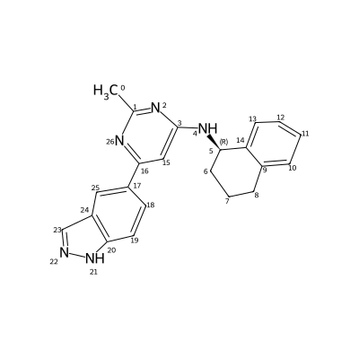 Cc1nc(N[C@@H]2CCCc3ccccc32)cc(-c2ccc3[nH]ncc3c2)n1